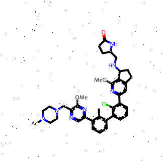 COc1nc(-c2cccc(-c3cccc(-c4cc5c(c(OC)n4)C(NCC4CCC(=O)N4)CC5)c3Cl)c2C)cnc1CN1CCN(C(C)=O)CC1